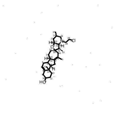 CC1=C2C[C@H]3C(CC=C4CC(O)CCC43C)[C@@H]2CC[C@@]2(C1)O[C@@H]1CC(C)CN(CCCl)[C@H]1[C@H]2C